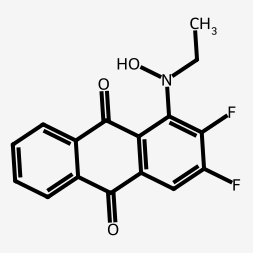 CCN(O)c1c(F)c(F)cc2c1C(=O)c1ccccc1C2=O